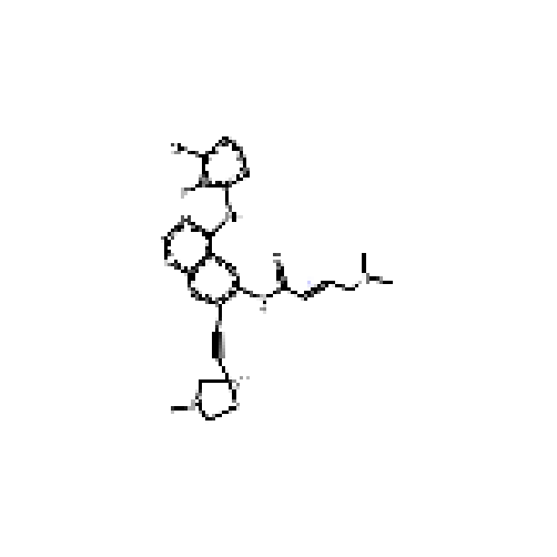 CN(C)C/C=C/C(=O)Nc1cc2c(Nc3cccc(Cl)c3F)ncnc2cc1C#C[C@@]1(C)CCN(C)C1